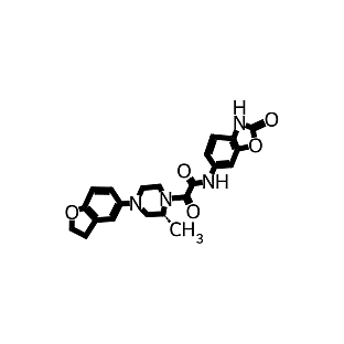 C[C@@H]1CN(c2ccc3c(c2)CCO3)CCN1C(=O)C(=O)Nc1ccc2[nH]c(=O)oc2c1